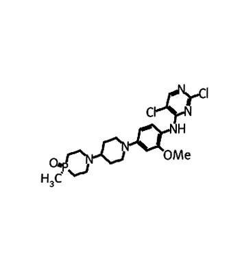 COc1cc(N2CCC(N3CCP(C)(=O)CC3)CC2)ccc1Nc1nc(Cl)ncc1Cl